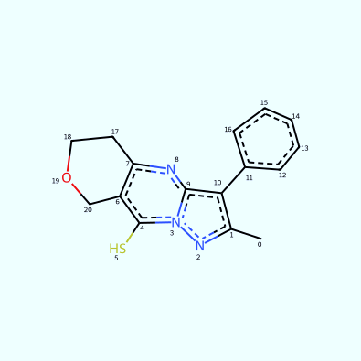 Cc1nn2c(S)c3c(nc2c1-c1ccccc1)CCOC3